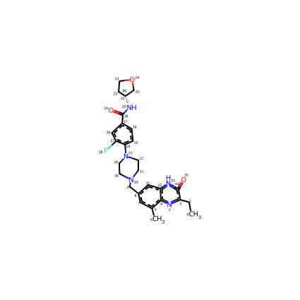 CCc1nc2c(C)cc(CN3CCN(c4ccc(C(=O)N[C@@H]5CCOC5)cc4F)CC3)cc2[nH]c1=O